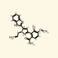 C=CCn1nc(-c2c(C(N)=O)ccc(OC)c2Cl)cc1-c1nc2ccccc2[nH]1